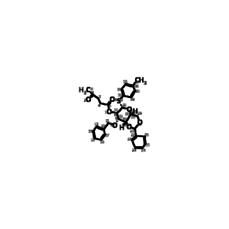 CC(=O)CCC(=O)O[C@@H]1[C@@H](OCc2ccccc2)[C@H]2OC(c3ccccc3)OC[C@H]2O[C@H]1Sc1ccc(C)cc1